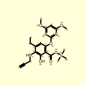 C#CCNc1c(CC)cc(Oc2nc(OC)cc(OC)n2)c(C(=O)O[Si](C)(C)C)c1O